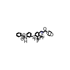 O=C(/C=C/c1ccc(Sc2cccc(NS(=O)(=O)c3ccccc3)c2)c(C(F)(F)F)c1C(F)(F)F)N1CCOCC1